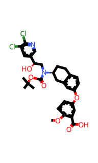 COc1ccc(Oc2ccc3c(c2)C[C@@H](N(C[C@@H](O)c2cnc(Cl)c(Cl)c2)C(=O)OC(C)(C)C)CC3)cc1C(=O)O